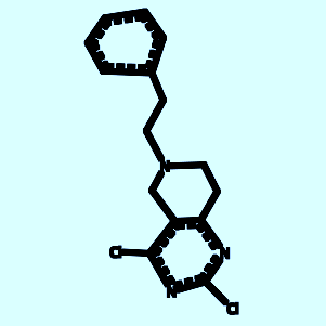 Clc1nc(Cl)c2c(n1)CCN(CCc1ccccc1)C2